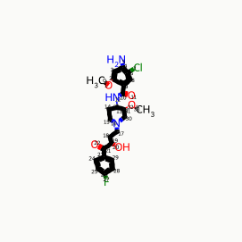 COc1cc(N)c(Cl)cc1C(=O)N[C@H]1CCN(CCC(O)C(=O)c2ccc(F)cc2)C[C@H]1OC